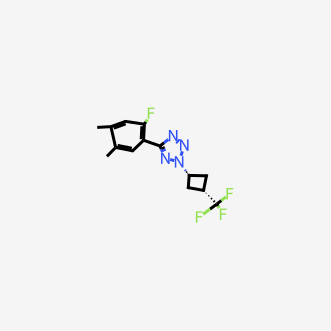 Cc1cc(F)c(-c2nnn([C@H]3C[C@@H](C(F)(F)F)C3)n2)cc1C